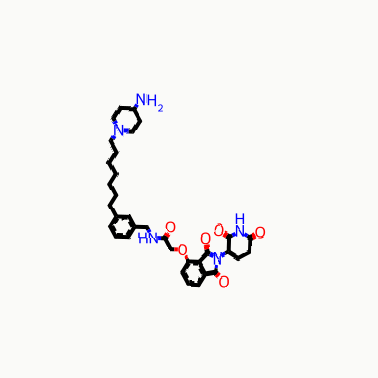 NC1CCN(CCCCCCCc2cccc(CNC(=O)COc3cccc4c3C(=O)N(C3CCC(=O)NC3=O)C4=O)c2)CC1